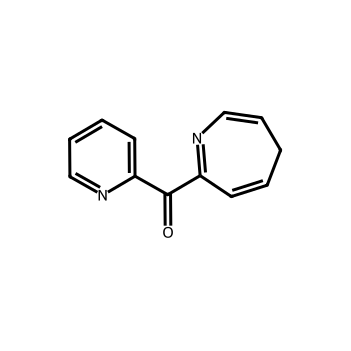 O=C(C1=NC=CCC=C1)c1ccccn1